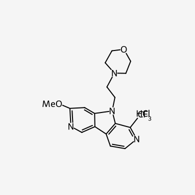 COc1cc2c(cn1)c1ccnc(C(F)(F)F)c1n2CCN1CCOCC1.Cl